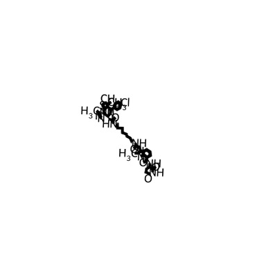 Cc1sc2c(c1C)C(c1ccc(Cl)cc1)=N[C@@H](CC(=O)NCCCCCCCCNC(=O)Cn1c(C)nc3c(C(=O)NC4CCC(=O)NC4=O)cccc31)c1nnc(C)n1-2